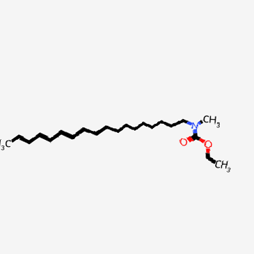 CCCCCCCCCCCCCCCCCCN(C)C(=O)OCC